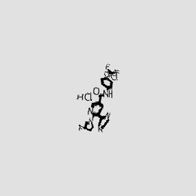 Cl.O=C(Nc1ccc(OC(F)(F)Cl)cc1)c1cnc(N2CCC(F)C2)c(-c2cnccn2)c1